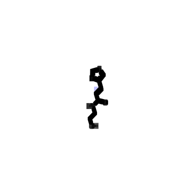 O=C(/C=C/c1cscn1)NCCO